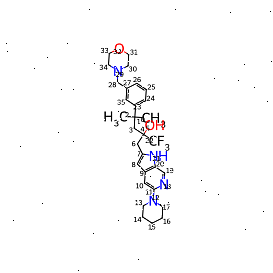 CC(C)(CC(O)(Cc1cc2cc(N3CCCCC3)ncc2[nH]1)C(F)(F)F)c1cccc(CN2CCOCC2)c1